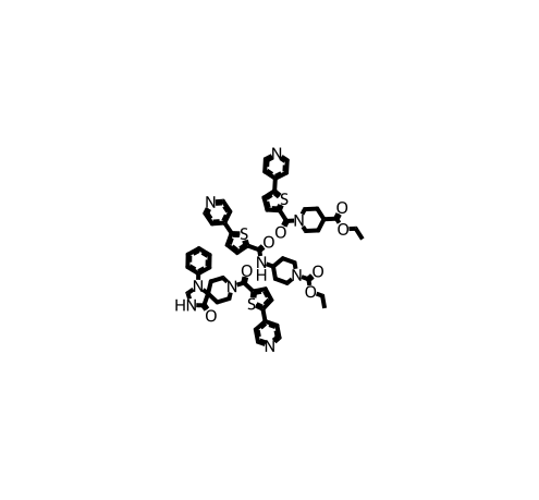 CCOC(=O)C1CCN(C(=O)c2ccc(-c3ccncc3)s2)CC1.CCOC(=O)N1CCC(NC(=O)c2ccc(-c3ccncc3)s2)CC1.O=C(c1ccc(-c2ccncc2)s1)N1CCC2(CC1)C(=O)NCN2c1ccccc1